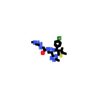 CNCCNCC(=O)NCC1N=C(c2ccc(Cl)cc2)c2c(sc(C)c2C)-n2c(C)nnc21